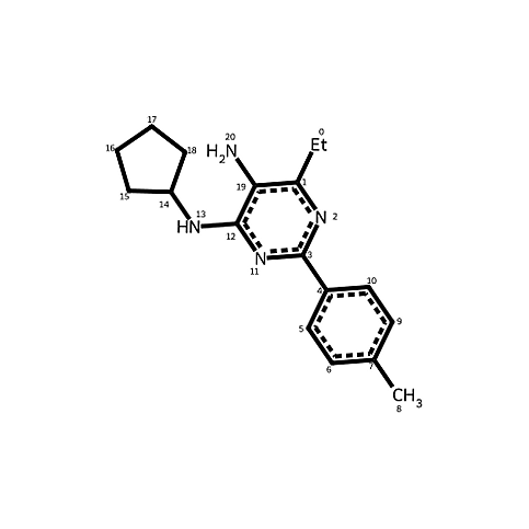 CCc1nc(-c2ccc(C)cc2)nc(NC2CCCC2)c1N